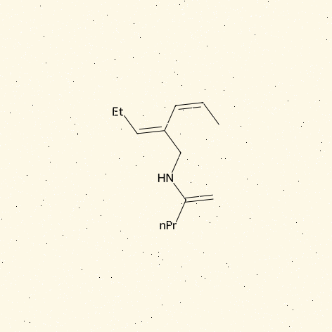 C=C(CCC)NCC(/C=C\C)=C/CC